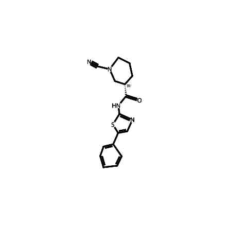 N#CN1CCC[C@H](C(=O)Nc2ncc(-c3ccccc3)s2)C1